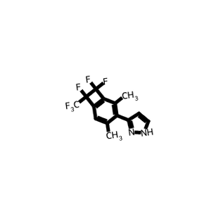 Cc1cc2c(c(C)c1-c1cc[nH]n1)C(F)(F)C2(F)C(F)(F)F